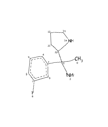 CC([NH])(c1cccc(F)c1)C1CCCN1